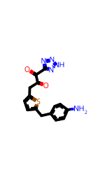 Nc1ccc(Cc2ccc(CC(=O)C(=O)c3nn[nH]n3)s2)cc1